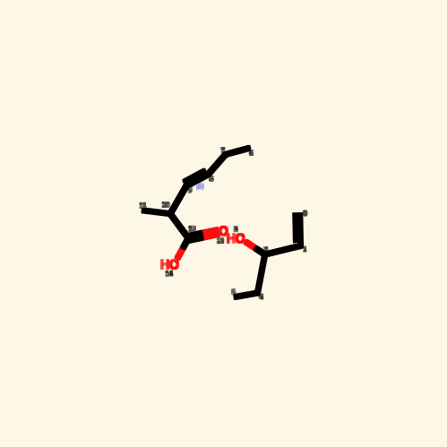 C=CC(O)CC.CC/C=C/C(C)C(=O)O